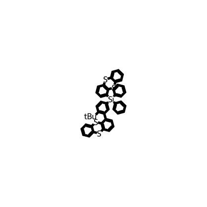 CC(C)(C)c1ccc([Si](c2ccccc2)(c2ccccc2)c2cccc3c2Sc2ccccc2S3)cc1-c1cccc2c1Sc1ccccc1S2